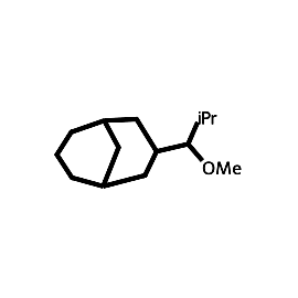 COC(C(C)C)C1CC2CCCC(C2)C1